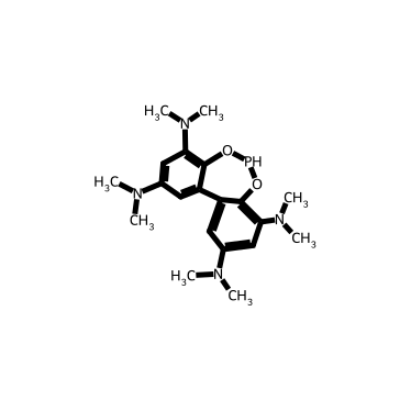 CN(C)c1cc(N(C)C)c2o[pH]oc3c(N(C)C)cc(N(C)C)cc3c2c1